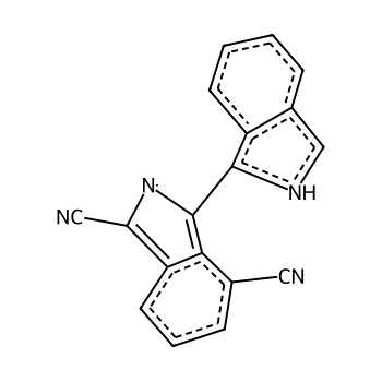 N#CC1=c2cccc(C#N)c2=C(c2[nH]cc3ccccc23)[N]1